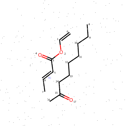 C=COC(=O)/C=C/C.CCCCCCCC(C)=O